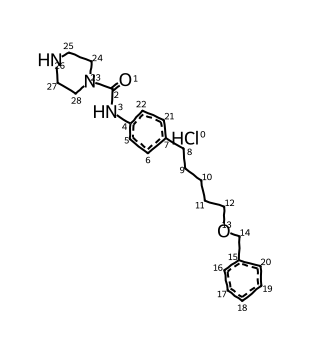 Cl.O=C(Nc1ccc(CCCCCOCc2ccccc2)cc1)N1CCNCC1